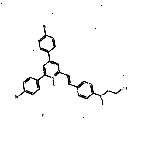 CN(CCO)c1ccc(/C=C/c2cc(-c3ccc(Br)cc3)cc(-c3ccc(Br)cc3)[n+]2C)cc1.[I-]